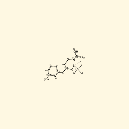 CC(C)(C)[C@@]1(C)CN(Cc2cccc(Br)n2)CCN1C(=O)O